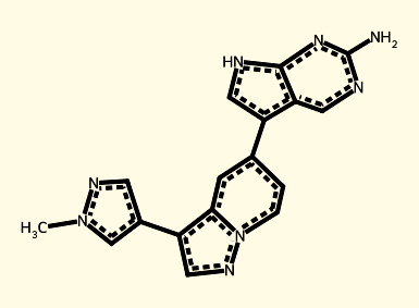 Cn1cc(-c2cnn3ccc(-c4c[nH]c5nc(N)ncc45)cc23)cn1